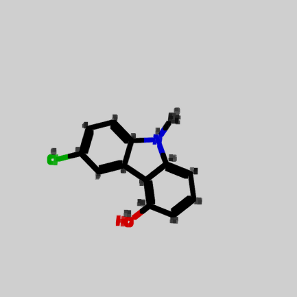 CCn1c2ccc(Cl)cc2c2c(O)cccc21